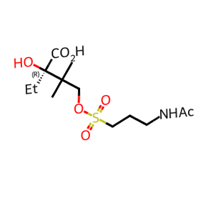 CC[C@](O)(C(=O)O)C(C)(C)COS(=O)(=O)CCCNC(C)=O